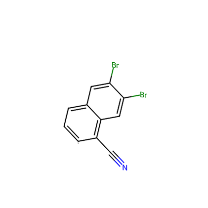 N#Cc1[c]ccc2cc(Br)c(Br)cc12